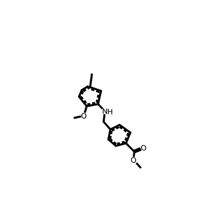 COC(=O)c1ccc(CNc2cc(C)ccc2OC)cc1